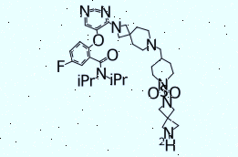 [2H]N1CC2(C1)CN(S(=O)(=O)N1CCC(CN3CCC4(CC3)CN(c3ncncc3Oc3ccc(F)cc3C(=O)N(C(C)C)C(C)C)C4)CC1)C2